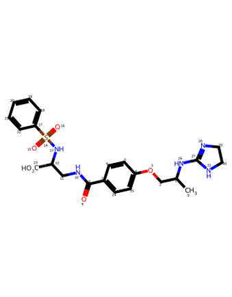 CC(COc1ccc(C(=O)NCC(NS(=O)(=O)c2ccccc2)C(=O)O)cc1)NC1=NCCN1